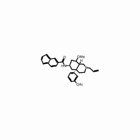 C=CCN1CC[C@@]2(c3cccc(OC(C)=O)c3)C[C@@H](NC(=O)c3ccc4ccccc4c3)CC(OC)[C@@H]2C1